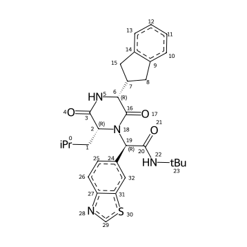 CC(C)C[C@@H]1C(=O)N[C@H](C2Cc3ccccc3C2)C(=O)N1[C@@H](C(=O)NC(C)(C)C)c1ccc2ncsc2c1